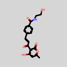 Cc1cc(O)c(C(=O)/C=C/c2ccc(C(=O)NCCO)cc2)c(=O)o1